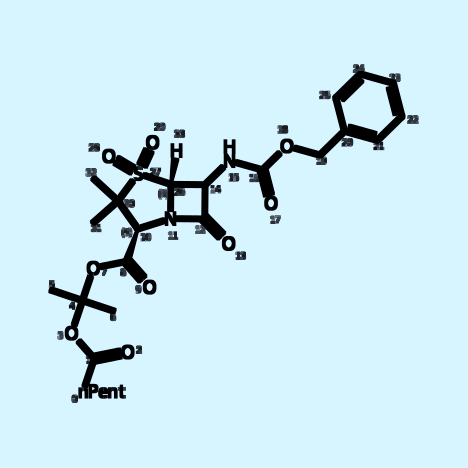 CCCCCC(=O)OC(C)(C)OC(=O)[C@@H]1N2C(=O)C(NC(=O)OCc3ccccc3)[C@H]2S(=O)(=O)C1(C)C